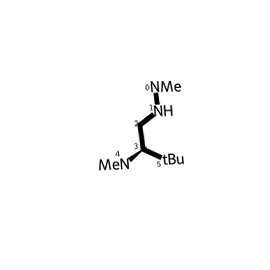 CNNC[C@H](NC)C(C)(C)C